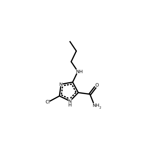 CCCNc1nc(Cl)[nH]c1C(N)=O